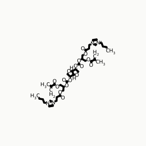 C=C(C)C(=O)OCC(COC(=O)CCn1cc[n+](CCCC)c1)OC(=O)O[C@H]1CO[C@H]2[C@@H]1OC[C@H]2OC(=O)OC(COC(=O)CCn1cc[n+](CCCC)c1)COC(=O)C(=C)C